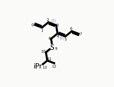 C=C/C=C\C(=C/C=C)CSCC(C)C(C)C